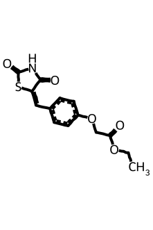 CCOC(=O)COc1ccc(C=C2SC(=O)NC2=O)cc1